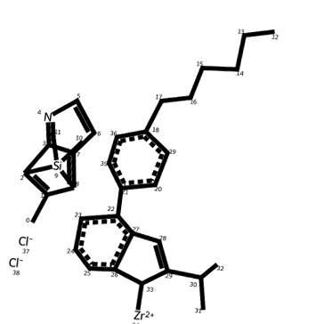 CC1=C2C3=NC=CC3=C1[Si]2(C)C.CCCCCCc1ccc(-c2cccc3c2C=C(C(C)C)[CH]3[Zr+2])cc1.[Cl-].[Cl-]